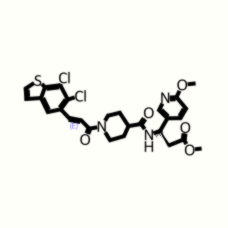 COC(=O)C[C@@H](NC(=O)C1CCN(C(=O)/C=C/c2cc3ccsc3c(Cl)c2Cl)CC1)c1ccc(OC)nc1